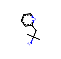 CC(C)(N)Cc1ccccn1